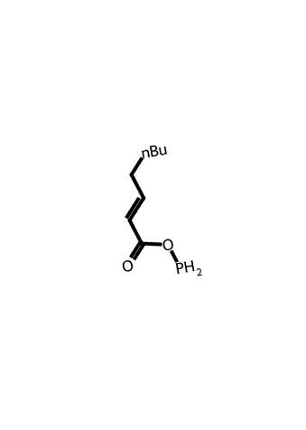 CCCCC/C=C/C(=O)OP